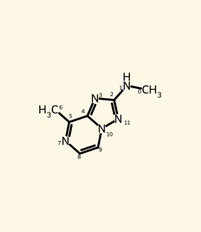 CNc1nc2c(C)nccn2n1